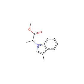 COC(=O)C(C)n1cc(C)c2ccccc21